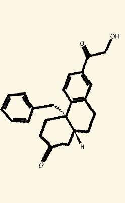 O=C1CC[C@@]2(Cc3ccccc3)c3ccc(C(=O)CO)cc3CC[C@@H]2C1